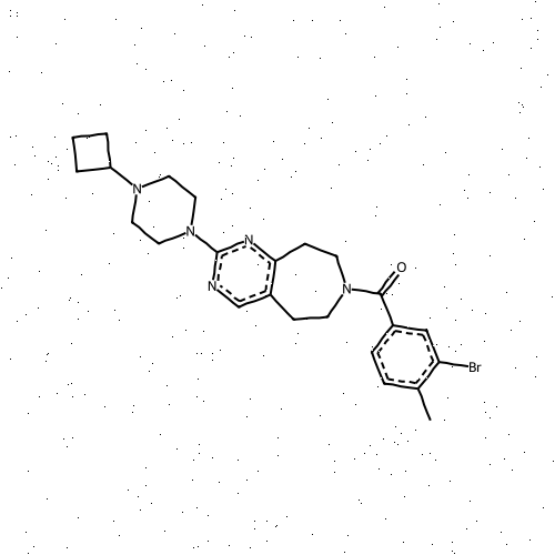 Cc1ccc(C(=O)N2CCc3cnc(N4CCN(C5CCC5)CC4)nc3CC2)cc1Br